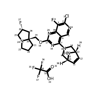 Fc1c(Cl)ncc2c(N3C[C@H]4C=C[C@@H](C3)N4)nc(OC[C@@]34CCCN3C[C@H](F)C4)nc12.O=C(O)C(F)(F)F